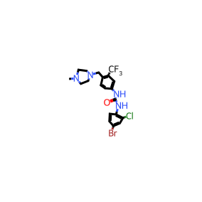 CN1CCN(Cc2ccc(NC(=O)Nc3ccc(Br)cc3Cl)cc2C(F)(F)F)CC1